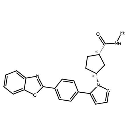 CCNC(=O)[C@H]1CC[C@@H](n2nccc2-c2ccc(-c3nc4ccccc4o3)cc2)C1